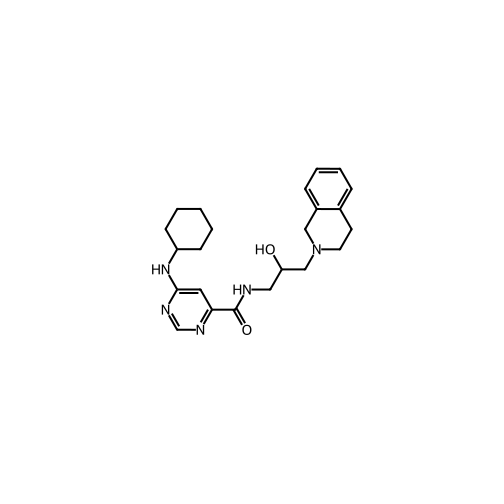 O=C(NCC(O)CN1CCc2ccccc2C1)c1cc(NC2CCCCC2)ncn1